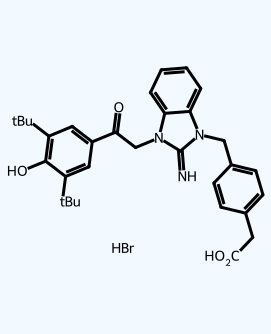 Br.CC(C)(C)c1cc(C(=O)Cn2c(=N)n(Cc3ccc(CC(=O)O)cc3)c3ccccc32)cc(C(C)(C)C)c1O